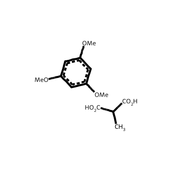 CC(C(=O)O)C(=O)O.COc1cc(OC)cc(OC)c1